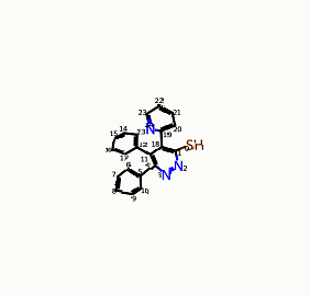 Sc1nnc(-c2ccccc2)c(-c2ccccc2)c1-c1ccccn1